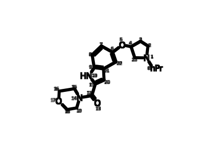 CCCN1CCC(Oc2ccc3[nH]c(C(=O)N4CCOCC4)cc3c2)C1